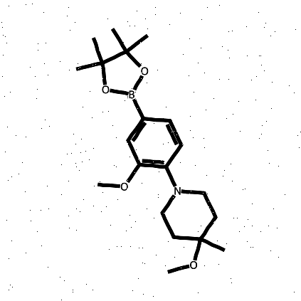 COc1cc(B2OC(C)(C)C(C)(C)O2)ccc1N1CCC(C)(OC)CC1